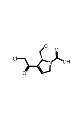 O=C(CCl)C1=CCN(C(=O)O)[C@@H]1CCl